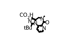 CN1Cc2c(C(=O)O)nc(C(C)(C)C)n2-c2cccnc2C1=O